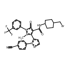 Cn1c(-c2ccnn2-c2ccc(C#N)cc2)c(C(=O)NC2CCC(CBr)CC2)c(=O)n1-c1cccc(C(F)(F)F)c1